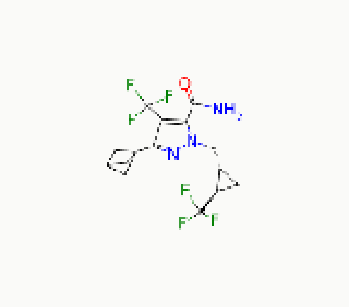 NC(=O)c1c(C(F)(F)F)c(C23CC(C2)C3)nn1C[C@@H]1C[C@H]1C(F)(F)F